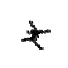 CN(C)c1ccc(C(C#N)(c2ccc(N(CC(O)COCCOCCO)CC(O)COCCOCCOCCO)cc2)c2ccc(N(CC(O)COCCOCCO)CC(O)COCCOCCOCCO)cc2)cc1